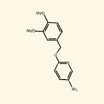 COc1ccc(COc2ccc(N)cn2)cc1OC